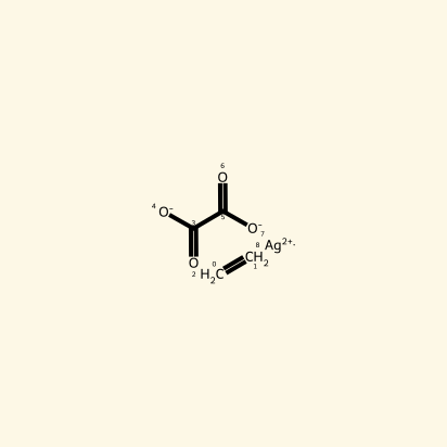 C=C.O=C([O-])C(=O)[O-].[Ag+2]